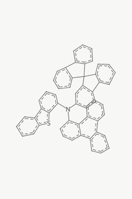 c1ccc2c(c1)-c1ccccc1C21c2ccccc2-c2ccc(N(c3cccc4c3sc3ccccc34)c3cccc4c5ccccc5c5ccccc5c34)cc21